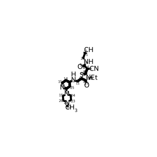 C#CCNC(=O)C(C#N)=c1sc(=CNc2ccnc(N3CCN(C)CC3)c2)c(=O)n1CC